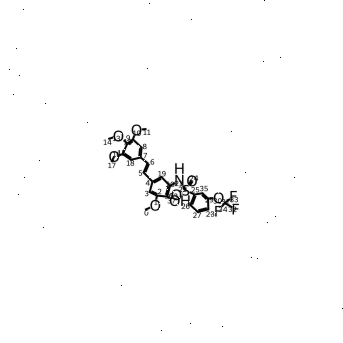 COc1cc(C=Cc2cc(OC)c(OC)c(OC)c2)cc(NS(=O)(=O)c2cccc(OC(F)(F)F)c2)c1O